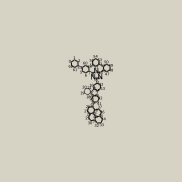 c1ccc(-c2ccc(-c3nc(-c4ccc5c(c4)C4(CCCC4)c4cc(-c6ccc7ccc8cccc9ccc6c7c89)ccc4-5)nc(-c4ccccc4-c4ccccc4)n3)cc2)cc1